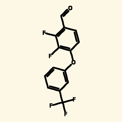 O=Cc1ccc(Oc2cccc(C(F)(F)F)c2)c(F)c1F